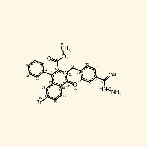 COC(=O)c1c(-c2ccccc2)c2cc(Br)ccc2c(=O)n1Cc1ccc(C(=O)NN)cc1